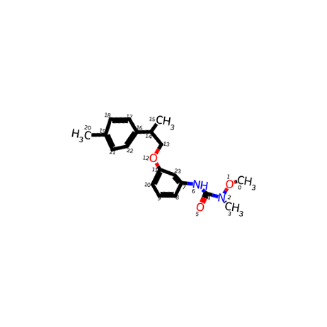 CON(C)C(=O)Nc1cccc(OCC(C)c2ccc(C)cc2)c1